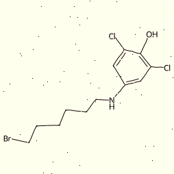 Oc1c(Cl)cc(NCCCCCCBr)cc1Cl